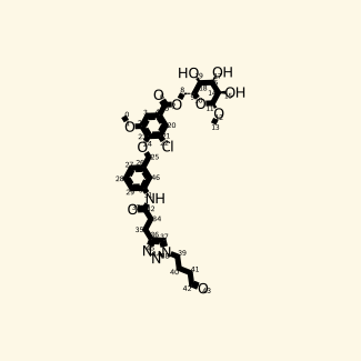 COc1cc(C(=O)OC[C@H]2O[C@H](OC)[C@H](O)[C@@H](O)[C@@H]2O)cc(Cl)c1OCc1cccc(NC(=O)CCc2cn(CCCC=O)nn2)c1